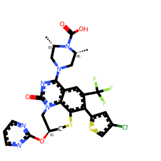 C[C@@H]1CN(c2nc(=O)n3c4c(c(-c5cc(Cl)cs5)c(C(F)(F)F)cc24)SC[C@@H](Oc2ncccn2)C3)C[C@H](C)N1C(=O)O